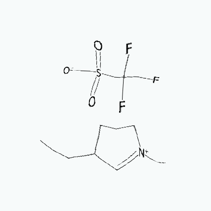 CCC1C=[N+](C)CC1.O=S(=O)([O-])C(F)(F)F